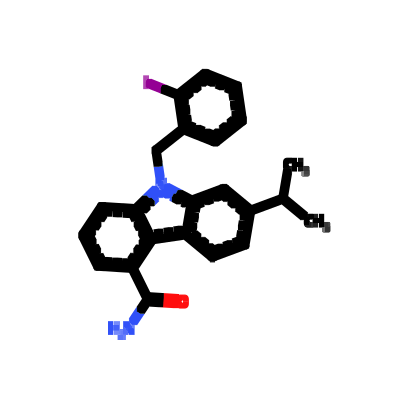 CC(C)c1c[c]c2c3c(C(N)=O)cccc3n(Cc3ccccc3I)c2c1